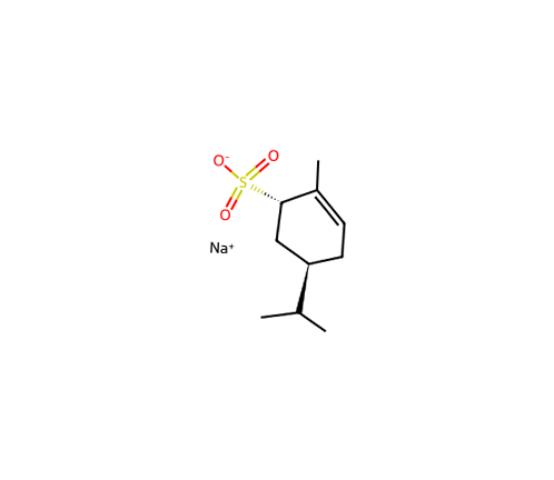 CC1=CC[C@@H](C(C)C)C[C@@H]1S(=O)(=O)[O-].[Na+]